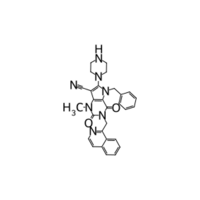 Cn1c(=O)n(Cc2nccc3ccccc23)c(=O)c2c1c(C#N)c(N1CCNCC1)n2Cc1ccccc1